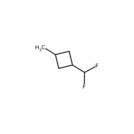 CC1CC(C(F)F)C1